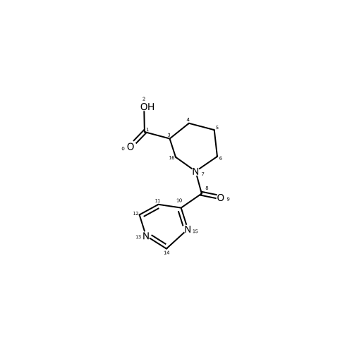 O=C(O)C1CCCN(C(=O)c2ccncn2)C1